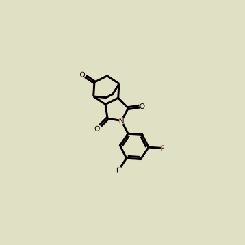 O=C1CC2CCC1C1C(=O)N(c3cc(F)cc(F)c3)C(=O)C21